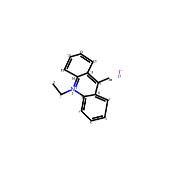 CC[n+]1c2ccccc2c(C)c2ccccc21.[I-]